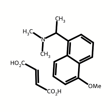 COc1cccc2c(C(C)N(C)C)cccc12.O=C(O)/C=C/C(=O)O